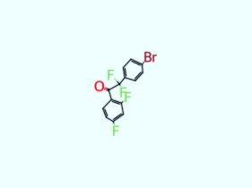 O=C(c1ccc(F)cc1F)C(F)(F)c1ccc(Br)cc1